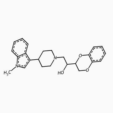 Cn1cc(C2CCN(CC(O)C3COc4ccccc4O3)CC2)c2ccccc21